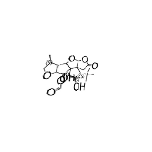 C[C@@H]1COC2C1C1OC3OC(=O)CC34[C@H](C(C)(C)C)[C@@H](O)C(OC=O)C14[C@H]2O